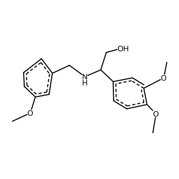 COc1cccc(CNC(CO)c2ccc(OC)c(OC)c2)c1